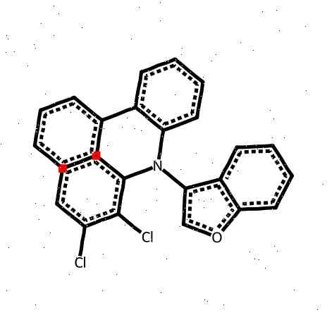 Clc1cccc(N(c2ccccc2-c2ccccc2)c2coc3ccccc23)c1Cl